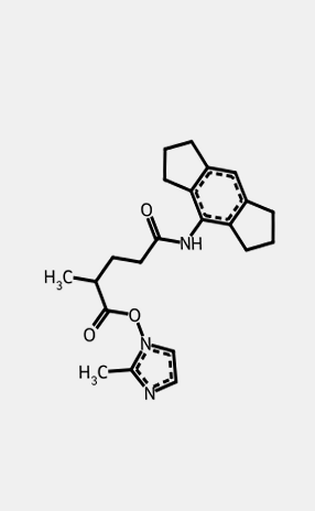 Cc1nccn1OC(=O)C(C)CCC(=O)Nc1c2c(cc3c1CCC3)CCC2